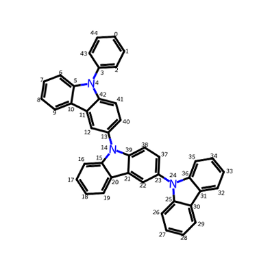 c1ccc(-n2c3ccccc3c3cc(-n4c5ccccc5c5cc(-n6c7ccccc7c7ccccc76)ccc54)ccc32)cc1